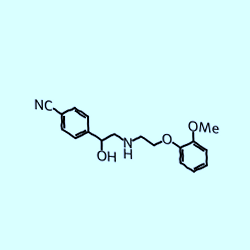 COc1ccccc1OCCNCC(O)c1ccc(C#N)cc1